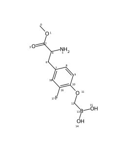 COC(=O)C(N)Cc1ccc(OCB(O)O)c(F)c1